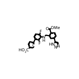 COC(=O)c1ccc(-c2cnn[nH]2)cc1CNc1c(F)ccc(-c2ccc(C(=O)O)cc2)c1F